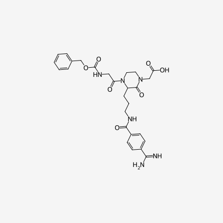 N=C(N)c1ccc(C(=O)NCCCC2C(=O)N(CC(=O)O)CCN2C(=O)CNC(=O)OCc2ccccc2)cc1